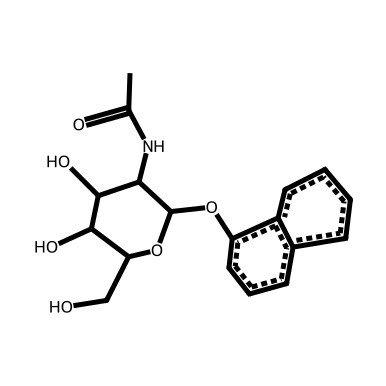 CC(=O)NC1C(Oc2cccc3ccccc23)OC(CO)C(O)C1O